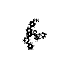 N#Cc1ccc(-c2ccc3nc(N4CCSC(c5ccccc5)C4)cc(C(=O)N4CCC[C@H]4CN4CCCC4)c3c2)cc1